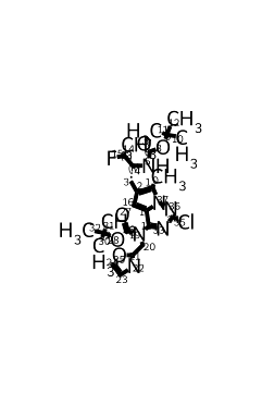 Cc1c(C[C@@H](NC(=O)OC(C)(C)C)[C@H](C)F)cc2c(N(Cc3ncco3)C(=O)OC(C)(C)C)nc(Cl)nn12